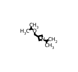 C=C(C)N1CC(COC(C)C)C1